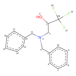 OC(CN(Cc1ccccc1)Cc1ccccc1)C(F)(F)F